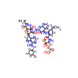 CN(Cc1cnc2nc(N)nc(N)c2n1)c1ccc(C(=O)N[C@@H](CCC(=O)O)C(=O)O)cc1.CNC(=O)[C@H]1O[C@@H](n2cnc3c(NCc4cccc(I)c4)ncnc32)[C@H](O)[C@@H]1O